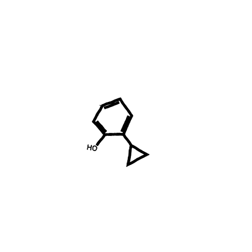 Oc1c[c]ccc1C1CC1